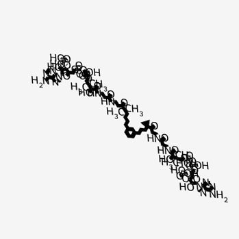 CC(C)(CCCCc1cccc(CCCC2(C(=O)CCNC(=O)CCNC(=O)C(O)C(C)(C)COP(=O)(O)OP(=O)(O)OCC3OC(n4cnc5c(N)ncnc54)C(O)C3OP(=O)(O)O)CC2)c1)C(=O)CCNC(=O)CCNC(=O)C(O)C(C)(C)COP(=O)(O)OP(=O)(O)OCC1OC(n2cnc3c(N)ncnc32)C(O)C1OP(=O)(O)O